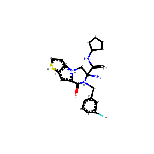 C=C(NC1CCCC1)C1(N)Cn2c(cc3sccc32)C(=O)N1Cc1cccc(F)c1